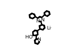 Oc1ccc(-c2cccc(-c3nc(-c4ccccc4)cc(-c4ccccc4)n3)c2)cc1-c1ccccn1.[Li]